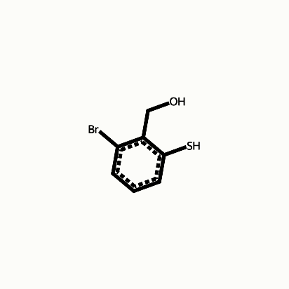 OCc1c(S)cccc1Br